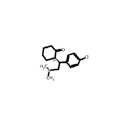 CN(C)CC(c1ccc(Cl)cc1)[C@H]1CCCCC1=O